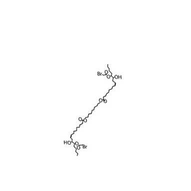 CCCCCC(OC(=O)CBr)C(O)C/C=C\CCCCCCCC(=O)OCCCCCCCCCCOC(=O)CCCCCCC/C=C\CC(O)C(CCCCC)OC(=O)CBr